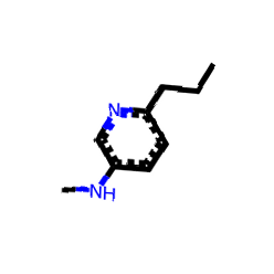 CCCc1ccc(NC)cn1